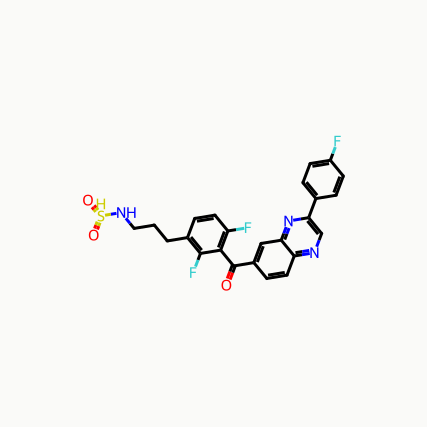 O=C(c1ccc2ncc(-c3ccc(F)cc3)nc2c1)c1c(F)ccc(CCCN[SH](=O)=O)c1F